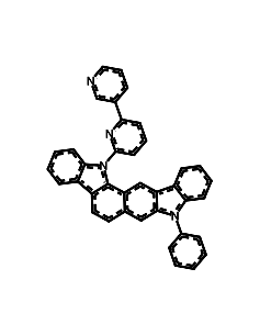 c1ccc(-n2c3ccccc3c3cc4c(ccc5c6ccccc6n(-c6cccc(-c7cccnc7)n6)c45)cc32)cc1